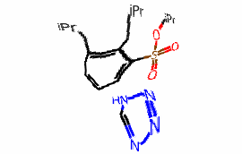 CC(C)OS(=O)(=O)c1cccc(C(C)C)c1C(C)C.c1nnn[nH]1